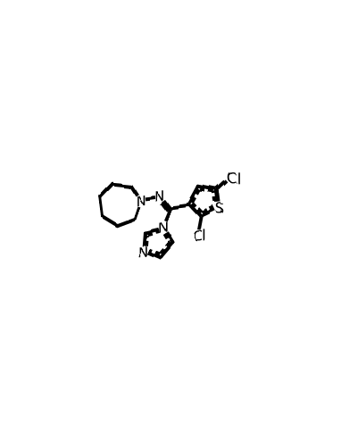 Clc1cc(C(=NN2CCCCCC2)n2ccnc2)c(Cl)s1